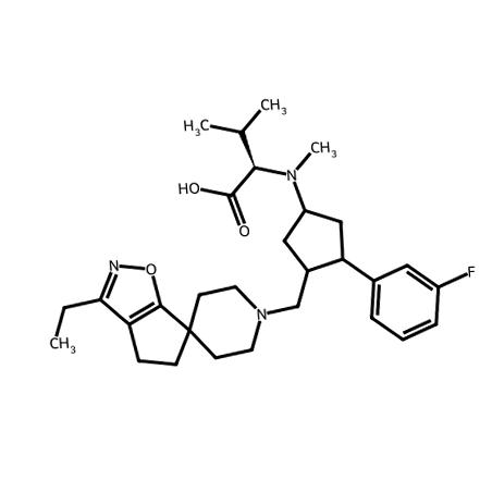 CCc1noc2c1CCC21CCN(CC2CC(N(C)[C@@H](C(=O)O)C(C)C)CC2c2cccc(F)c2)CC1